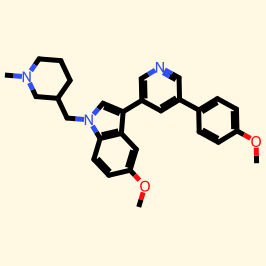 COc1ccc(-c2cncc(-c3cn(CC4CCCN(C)C4)c4ccc(OC)cc34)c2)cc1